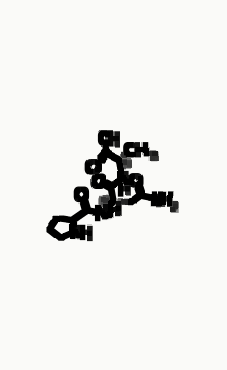 C[C@H](NC(=O)[C@H](CC(N)=O)NC(=O)C1CCCN1)C(=O)O